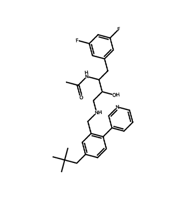 CC(=O)NC(Cc1cc(F)cc(F)c1)C(O)CNCc1cc(CC(C)(C)C)ccc1-c1cccnc1